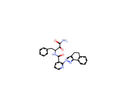 NC(=O)C(=O)C(Cc1ccccc1)NC(=O)c1cccnc1-n1cc2c(n1)-c1ccccc1CC2